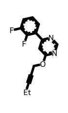 CCC#CCOc1cc(-c2cccc(F)c2F)ncn1